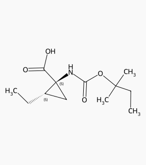 CC[C@H]1C[C@@]1(NC(=O)OC(C)(C)CC)C(=O)O